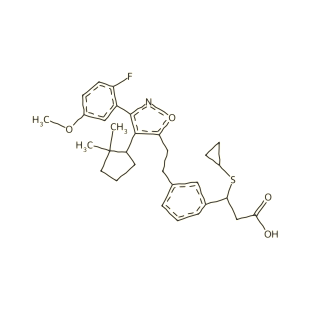 COc1ccc(F)c(-c2noc(CCc3cccc(C(CC(=O)O)SC4CC4)c3)c2C2CCCC2(C)C)c1